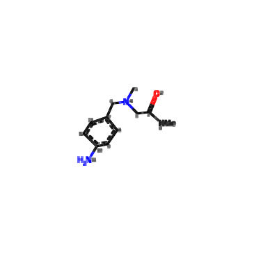 CNC(=O)CN(C)Cc1ccc(N)cc1